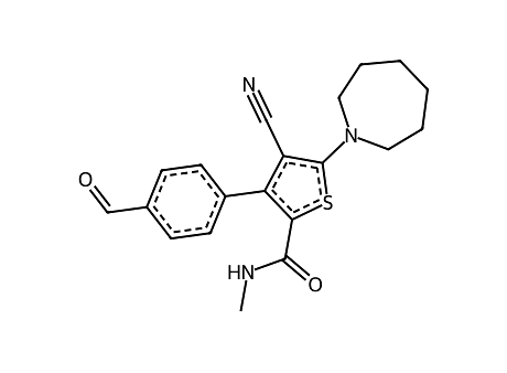 CNC(=O)c1sc(N2CCCCCC2)c(C#N)c1-c1ccc(C=O)cc1